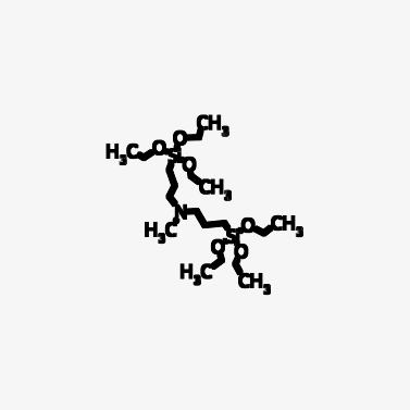 CCO[Si](CCCN(C)CCC[Si](OCC)(OCC)OCC)(OCC)OCC